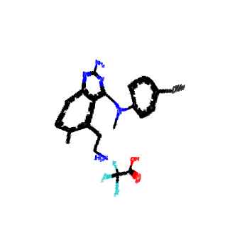 COc1ccc(N(C)c2nc(N)nc3ccc(C)c(CCN)c23)cc1.O=C(O)C(F)(F)F